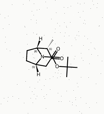 C[C@@H]1C(=O)C[C@@H]2CC[C@H]1N2C(=O)OC(C)(C)C